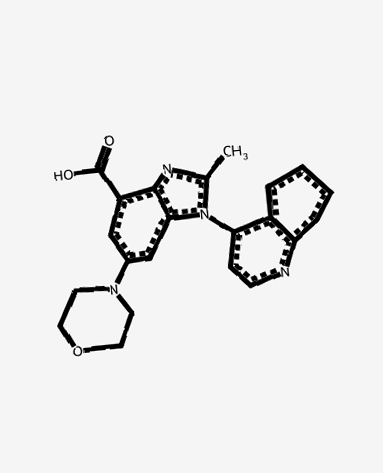 Cc1nc2c(C(=O)O)cc(N3CCOCC3)cc2n1-c1ccnc2ccccc12